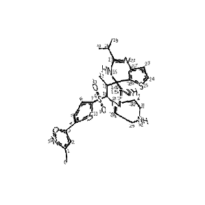 Cc1cc(-c2ccc(S(=O)(=O)C(C(C)C3(N)NC(C(C)C)=Nc4ccsc43)N3CCNCC3)s2)on1